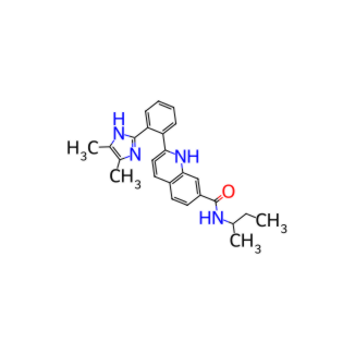 CCC(C)NC(=O)c1ccc2c(c1)NC(c1ccccc1-c1nc(C)c(C)[nH]1)=C=C2